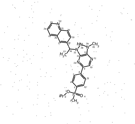 CC(C)OP(C)(=O)c1ccc(-c2cnc3c(n2)N(C(C)c2ccc4ncccc4c2)NN3C)cc1